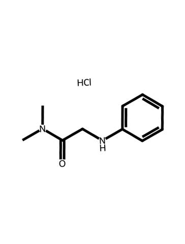 CN(C)C(=O)CNc1ccccc1.Cl